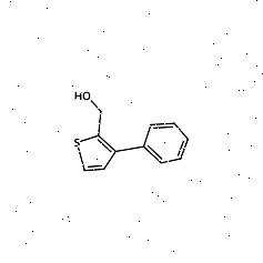 OCc1sccc1-c1ccccc1